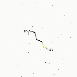 CC(C)(C)SCCCS(=O)(=O)O